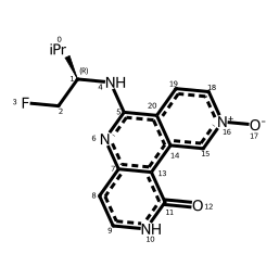 CC(C)[C@H](CF)Nc1nc2cc[nH]c(=O)c2c2c[n+]([O-])ccc12